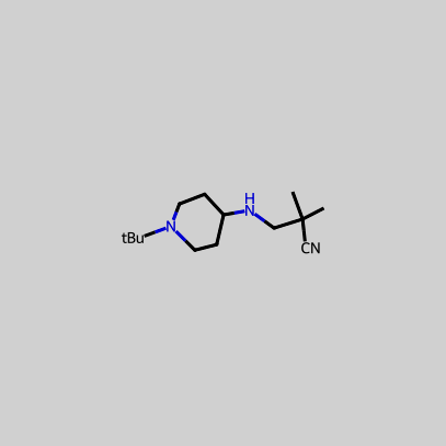 CC(C)(C#N)CNC1CCN(C(C)(C)C)CC1